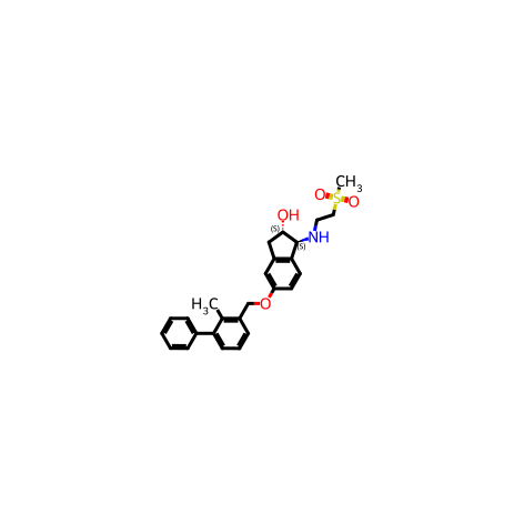 Cc1c(COc2ccc3c(c2)C[C@H](O)[C@H]3NCCS(C)(=O)=O)cccc1-c1ccccc1